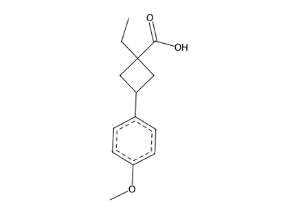 CCC1(C(=O)O)CC(c2ccc(OC)cc2)C1